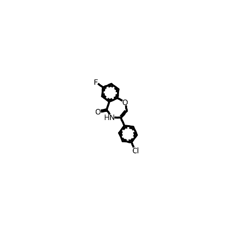 O=C1NC(c2ccc(Cl)cc2)=COc2ccc(F)cc21